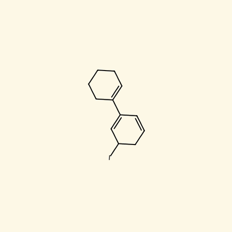 IC1C=C(C2=CCCCC2)C=CC1